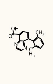 Cc1cccc(C)c1-c1ccc(C(=O)O)c2nccnc12